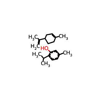 C=C(C)C1CC=C(C)CC1.Cc1ccc(C(C)C)c(O)c1